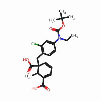 CCN(C(=O)OC(C)(C)C)c1ccc(CC2(C(=O)O)C=CC=C(C(=O)O)C2C)c(Cl)c1